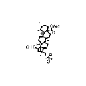 COC(=O)[C@]12CC[C@@H](C)[C@H](C)[C@@H]1C1=CC[C@@H]3[C@@]4(C)C(C=O)=C[C@@](C)(COS(C)(=O)=O)C4=CC[C@@]3(C)[C@]1(C)CC2